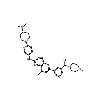 Cc1cc(-c2cccc(C(=O)N3CCN(C)CC3)c2)cc2cnc(Nc3ccc(N4CCC(N(C)C)CC4)nc3)nc12